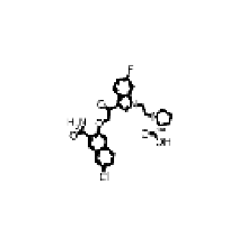 NC(=O)c1cc2cc(Cl)ccc2cc1OCC(=O)c1cn(CCN2CCC[C@@H]2C(=O)O)c2cc(F)ccc12